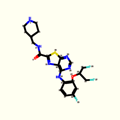 O=C(NCC1CCNCC1)c1nc2c(Nc3ccc(F)cc3OC(CF)CF)ncnc2s1